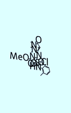 COC(=O)N1C[N+]2(C)C(=CC(=O)N2C)N=C1S(=O)(=O)Nc1c(C)cccc1Cl